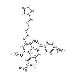 CCCCOc1nc(CCCCCCN2CCCC2)c([N+](=O)[O-])c(N(Cc2ccc(OC)cc2)Cc2ccc(OC)cc2)n1